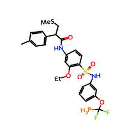 CCOc1cc(NC(=O)C(CSC)c2ccc(C)cc2)ccc1S(=O)(=O)Nc1cccc(OC(F)(F)P)c1